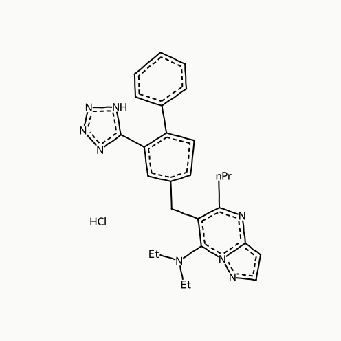 CCCc1nc2ccnn2c(N(CC)CC)c1Cc1ccc(-c2ccccc2)c(-c2nnn[nH]2)c1.Cl